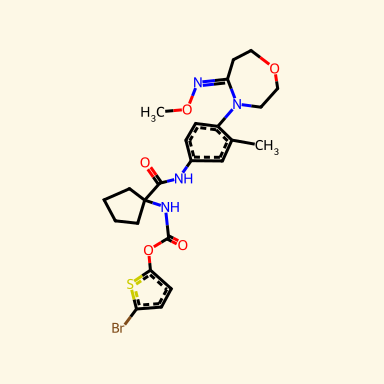 CON=C1CCOCCN1c1ccc(NC(=O)C2(NC(=O)Oc3ccc(Br)s3)CCCC2)cc1C